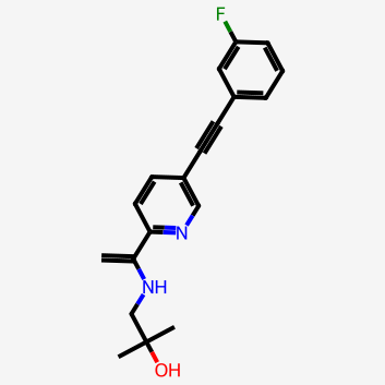 C=C(NCC(C)(C)O)c1ccc(C#Cc2cccc(F)c2)cn1